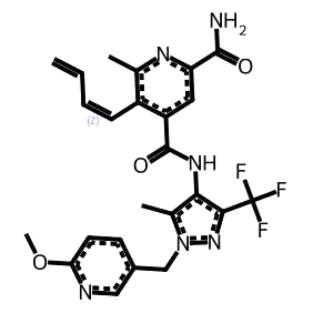 C=C/C=C\c1c(C(=O)Nc2c(C(F)(F)F)nn(Cc3ccc(OC)nc3)c2C)cc(C(N)=O)nc1C